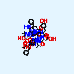 CC(C)C(=O)[C@H](Cc1ccccc1)NC(=O)[C@H](Cc1c[nH]c2ccccc12)NC(=O)[C@@H](NC(=O)[C@H](CC(=O)O)NC(=O)[C@H](Cc1ccc(O)cc1)NC(=O)[C@H](Cc1c[nH]c2ccccc12)NC(=O)[C@H](Cc1ccc(O)cc1)NC(=O)[C@H](CO)NC(C)(C)C)C(C)C